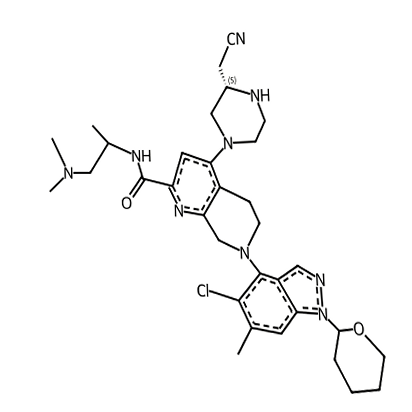 Cc1cc2c(cnn2C2CCCCO2)c(N2CCc3c(N4CCN[C@@H](CC#N)C4)cc(C(=O)NC(C)CN(C)C)nc3C2)c1Cl